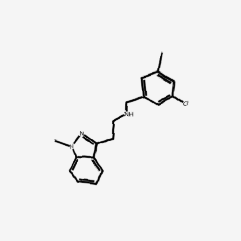 Cc1cc(Cl)cc(CNCCc2nn(C)c3ccccc23)c1